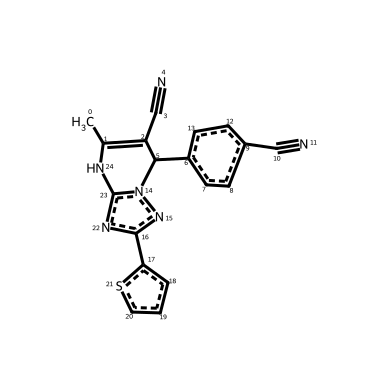 CC1=C(C#N)C(c2ccc(C#N)cc2)n2nc(-c3cccs3)nc2N1